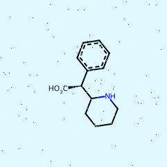 O=C(O)[C@@H](c1ccccc1)C1CCCCN1